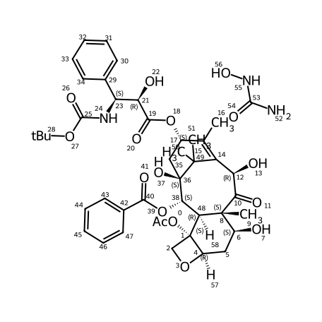 CC(=O)O[C@@]12CO[C@@H]1C[C@H](O)[C@@]1(C)C(=O)[C@H](O)C3=C(C)[C@@H](OC(=O)[C@H](O)[C@@H](NC(=O)OC(C)(C)C)c4ccccc4)C[C@@](O)([C@@H](OC(=O)c4ccccc4)[C@H]21)C3(C)C.NC(=O)NO